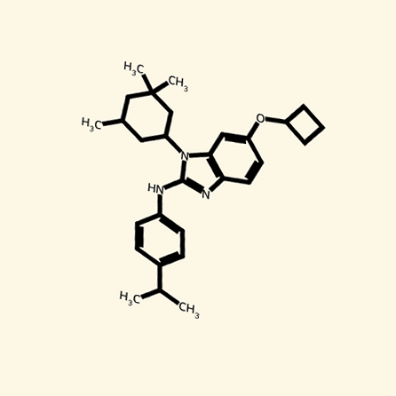 CC1CC(n2c(Nc3ccc(C(C)C)cc3)nc3ccc(OC4CCC4)cc32)CC(C)(C)C1